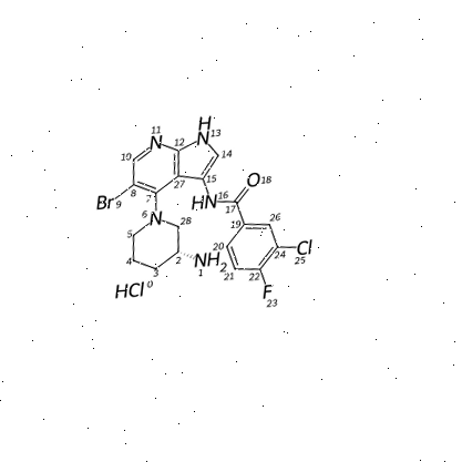 Cl.N[C@@H]1CCCN(c2c(Br)cnc3[nH]cc(NC(=O)c4ccc(F)c(Cl)c4)c23)C1